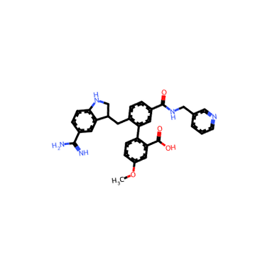 COc1ccc(-c2cc(C(=O)NCc3cccnc3)ccc2CC2CNc3ccc(C(=N)N)cc32)c(C(=O)O)c1